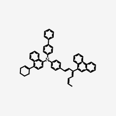 C\C=C/C=C(\C=C\c1ccc(N(c2ccc(-c3ccccc3)cc2)c2ccc(C3=CCCCC3)c3ccccc23)cc1)c1cc2ccccc2c2ccccc12